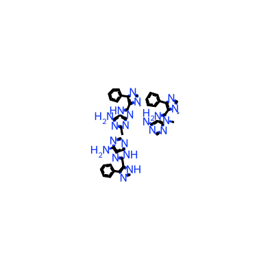 Cc1nc(N)c2[nH]c(-c3c(-c4ccccc4)ncn3C)nc2n1.Cn1cnc(-c2ccccc2)c1-c1nc2c(N)ncnc2n1C.Nc1ncnc2[nH]c(-c3[nH]cnc3-c3ccccc3)nc12